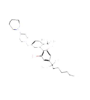 CCCCCCC(C)(C)c1cc(O)c2c(c1)OC(C)(C)C1CC=C(CN3CCC(N4CCCCC4)CC3)CC21